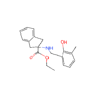 CCOC(=O)C1(NCc2cccc(C)c2O)Cc2ccccc2C1